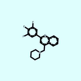 Fc1cc(-c2cc(CN3CCCCC3)c3ccccc3n2)cc(F)c1F